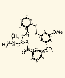 COc1cccc(CCc2ccccc2OC[C@@H](CN(C)C)OC(=O)c2cccc(C(=O)O)c2)c1